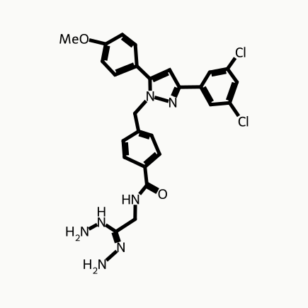 COc1ccc(-c2cc(-c3cc(Cl)cc(Cl)c3)nn2Cc2ccc(C(=O)NC/C(=N/N)NN)cc2)cc1